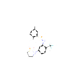 Cc1ccc(C)c(S(=O)(=O)Nc2cc(N3CCCS3(=O)=O)ccc2C(F)(F)F)c1